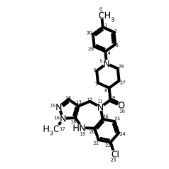 Cc1ccc(N2CCC(C(=O)N3Cc4cnn(C)c4Nc4cc(Cl)ccc43)CC2)cc1